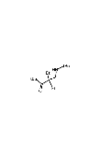 CCC(CC)(CNC(C)(C)C)C(=O)C(C)(C)C